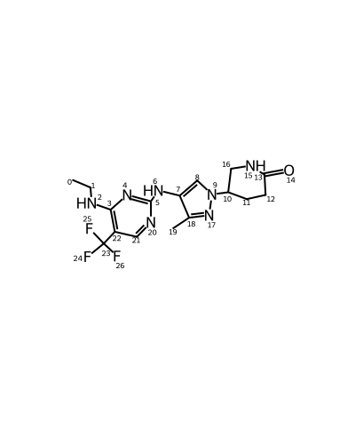 CCNc1nc(Nc2cn(C3CCC(=O)NC3)nc2C)ncc1C(F)(F)F